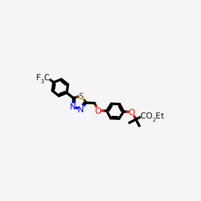 CCOC(=O)C(C)(C)Oc1ccc(OCc2nnc(-c3ccc(C(F)(F)F)cc3)s2)cc1